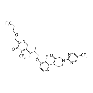 CC(COc1ccnc(N2CCN(c3ncc(C(F)(F)F)cn3)CC2=O)c1F)Nc1cnn(COCCC(F)(F)F)c(=O)c1C(F)(F)F